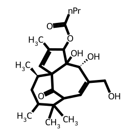 CCCC(=O)OC1C(C)=CC23C(=O)C(C=C(CO)[C@@H](O)C12O)C(C)(C)C(C)C[C@H]3C